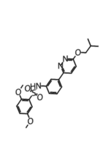 COc1ccc(OC)c(S(=O)(=O)Nc2cccc(-c3ccc(OCC(C)C)nn3)c2)c1